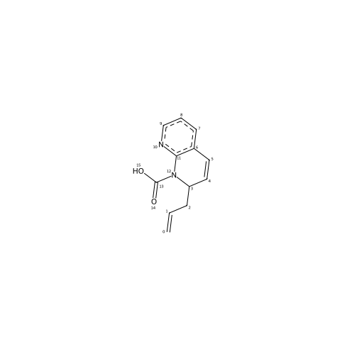 C=CCC1C=Cc2cccnc2N1C(=O)O